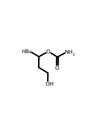 CCCCC(CCO)OC(N)=O